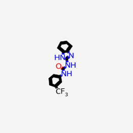 O=C(Nc1cccc(C(F)(F)F)c1)Nc1nc2ccccc2[nH]1